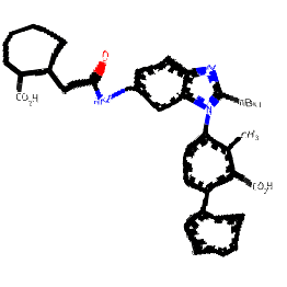 CCCCc1nc2ccc(NC(=O)CC3CCCCC3C(=O)O)cc2n1-c1ccc(-c2ccccc2)c(C(=O)O)c1C